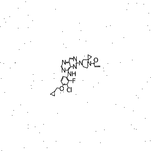 C=CC(=O)N1CCN(c2ncc3ncnc(Nc4ccc(OCC5CC5)c(Cl)c4F)c3n2)CC12CC2